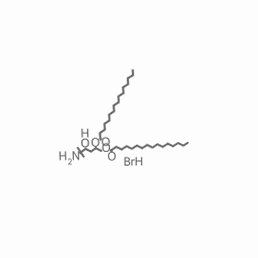 Br.CCCCCCCCCCCCCCCC(=O)OCC(CC(O)C(C)(C)N)OC(=O)CCCCCCCCCCCCCCC